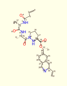 C=CCC(=O)NC(C(=O)N[C@@H](C)C(=O)N1CCC[C@@H](C(=O)O[C@H](C)c2ccc3cnc(C=C)cc3c2)N1)C(C)C